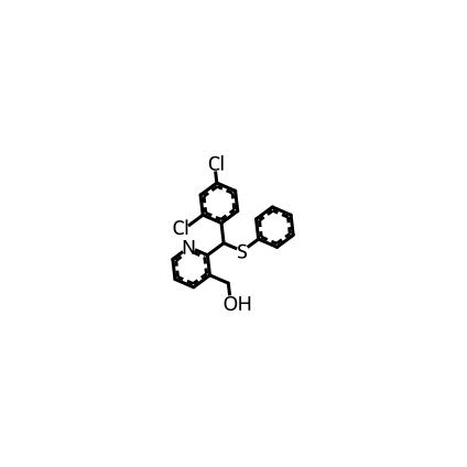 OCc1cccnc1C(Sc1ccccc1)c1ccc(Cl)cc1Cl